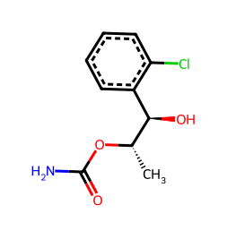 C[C@H](OC(N)=O)[C@H](O)c1ccccc1Cl